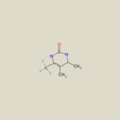 CC1=C(C(F)(F)F)[N]C(=O)[N]C1C